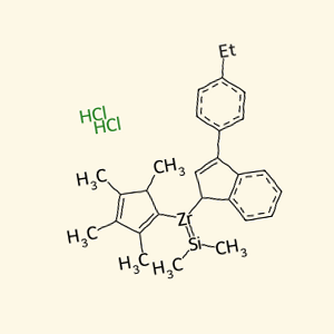 CCc1ccc(C2=C[CH]([Zr]([C]3=C(C)C(C)=C(C)C3C)=[Si](C)C)c3ccccc32)cc1.Cl.Cl